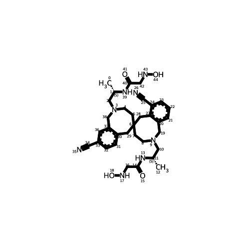 C[C@@H](CN1CCC2(CCN(C[C@H](C)NC(=O)CNO)Cc3cccc(C#N)c3C2)Cc2ccc(C#N)cc2C1)NC(=O)CNO